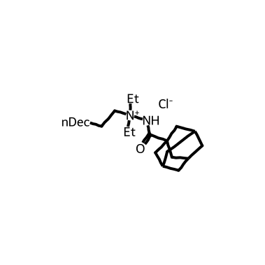 CCCCCCCCCCCC[N+](CC)(CC)NC(=O)C12CC3CC(CC(C3)C1)C2.[Cl-]